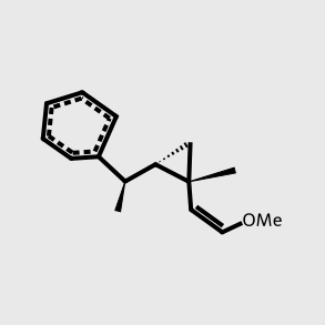 CO/C=C\[C@@]1(C)C[C@H]1[C@@H](C)c1ccccc1